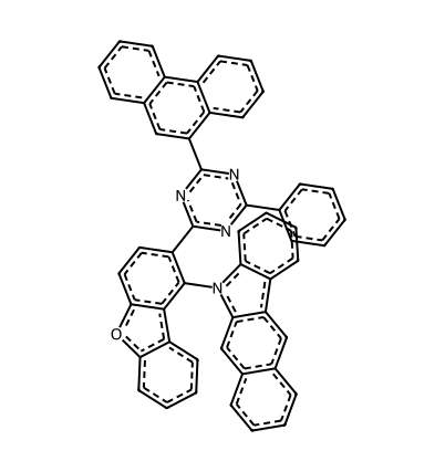 c1ccc(-c2nc(-c3ccc4oc5ccccc5c4c3-n3c4ccccc4c4cc5ccccc5cc43)nc(-c3cc4ccccc4c4ccccc34)n2)cc1